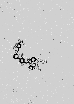 Cc1ccc(COc2cccc(-c3cc(F)c(Cc4nc5ccc(C(=O)O)cc5n4[C@@H]4COCC4(C)C)cc3F)n2)c(F)n1